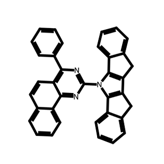 c1ccc(-c2nc(-n3c4c(c5c3-c3ccccc3C5)Cc3ccccc3-4)nc3c2ccc2ccccc23)cc1